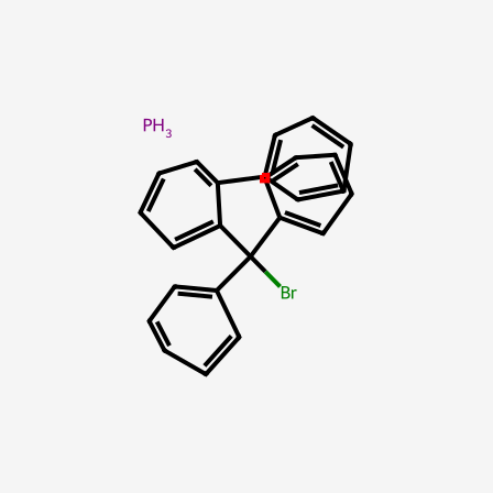 BrC(c1ccccc1)(c1ccccc1)c1ccccc1-c1ccccc1.P